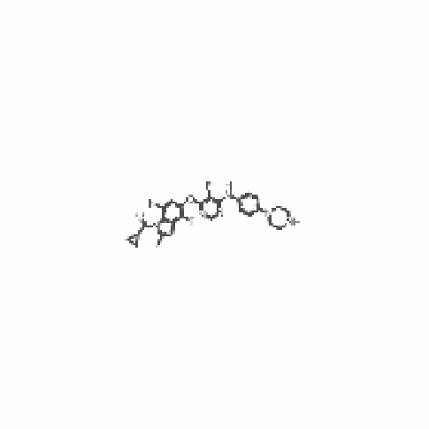 Cc1cc2c(F)c(Oc3ncnc(Nc4ccc(N5CCNCC5)cc4)c3F)cc(F)c2n1C(=O)C1CC1